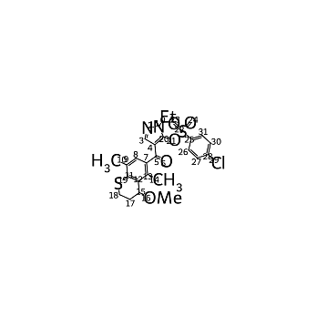 CCn1ncc(C(=O)c2cc(C)c3c(c2C)C(OC)CCS3)c1OS(=O)(=O)c1ccc(Cl)cc1